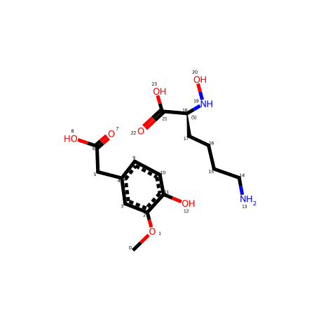 COc1cc(CC(=O)O)ccc1O.NCCCC[C@H](NO)C(=O)O